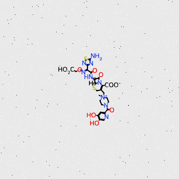 C[N+]1(CC2=C(C(=O)[O-])N3C(=O)[C@@H](NC(=O)C(=NOCC(=O)O)c4nsc(N)n4)[C@@H]3SC2)CCN(C(=O)c2cc(O)c(O)cn2)CC1